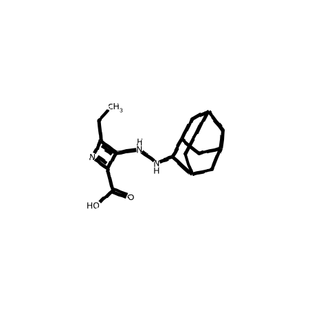 CCC1=C(NNC2C3CC4CC(C3)CC2C4)C(C(=O)O)=N1